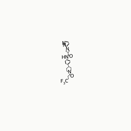 O=C(Nc1ccc(C2CCN(C(=O)CCC(F)(F)F)CC2)cc1)C1CN(c2cccnn2)C1